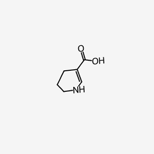 O=C(O)C1=CNCCC1